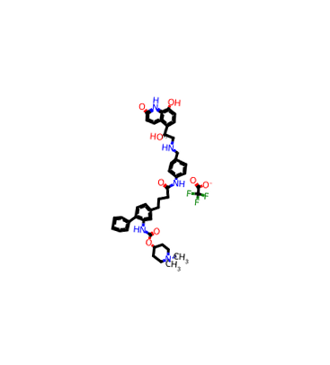 C[N+]1(C)CCC(OC(=O)Nc2cc(CCCC(=O)Nc3ccc(CNC[C@H](O)c4ccc(O)c5[nH]c(=O)ccc45)cc3)ccc2-c2ccccc2)CC1.O=C([O-])C(F)(F)F